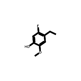 CCc1cc(OC)c(O)cc1F